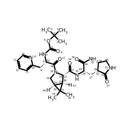 CC(C)(C)OC(=O)N[C@@H](Cc1ccccn1)C(=O)N1C[C@H]2[C@@H]([C@H]1C(=O)N[C@@H](C[C@@H]1CCNC1=O)C(N)=O)C2(C)C